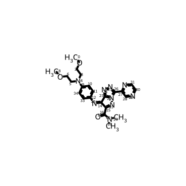 COCCN(CCOC)c1ccc(N=C2C(C(=O)N(C)C)=Nn3c2nnc3-c2cnccn2)cc1